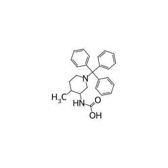 CC1CCN(C(c2ccccc2)(c2ccccc2)c2ccccc2)CC1NC(=O)O